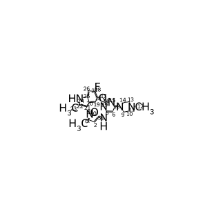 Cc1cc(Nc2cc(N3CCN(C)CC3)nc(Oc3cc4cc(C)[nH]c4cc3F)n2)on1